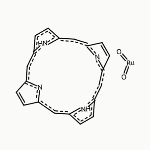 C1=Cc2cc3ccc(cc4nc(cc5ccc(cc1n2)[nH]5)C=C4)[nH]3.[O]=[Ru]=[O]